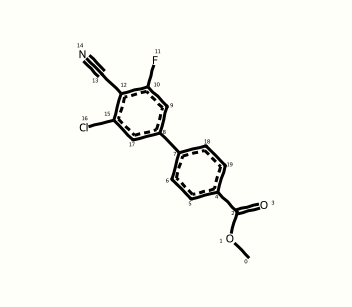 COC(=O)c1ccc(-c2cc(F)c(C#N)c(Cl)c2)cc1